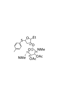 CCC1OC(Sc2ccc(C)cc2)C[C@@H]1O[C@H]1O[C@@H](CNC)[C@@H](OC(C)=O)C(OC(C)=O)[C@H]1NC